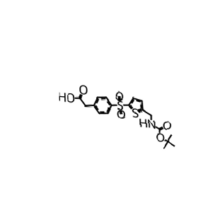 CC(C)(C)OC(=O)NCc1ccc(S(=O)(=O)c2ccc(CC(=O)O)cc2)s1